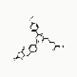 COc1ccc(C(COc2ccc(CC3SC(=O)CC3=O)cc2)OC(=O)CCCC(=O)O)cc1